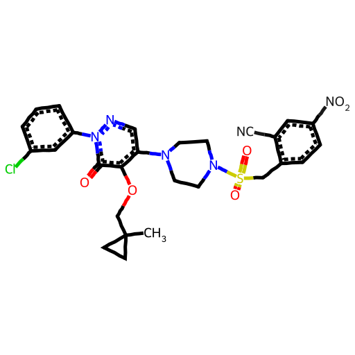 CC1(COc2c(N3CCN(S(=O)(=O)Cc4ccc([N+](=O)[O-])cc4C#N)CC3)cnn(-c3cccc(Cl)c3)c2=O)CC1